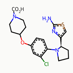 Nc1nc([C@H]2CCCN2c2ccc(OC3CCN(C(=O)O)CC3)cc2Cl)cs1